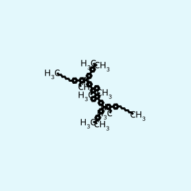 CCCCCCCCc1ccc(-c2ccc(N(c3ccc(-c4ccc(C(C)C)cc4)cc3)c3ccc(-c4cc(C)c(-c5c(C)cc(-c6ccc(N(c7ccc(-c8ccc(C(C)C)cc8)cc7)c7ccc(-c8ccc(CCCCCCCC)cc8)c(CC)c7)cc6)c6ccccc56)c5ccccc45)cc3)cc2CC)cc1